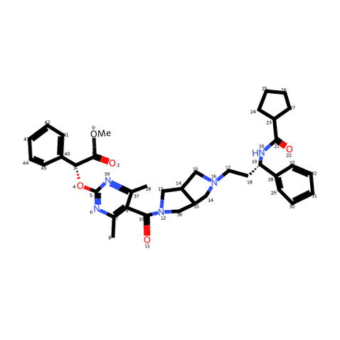 COC(=O)[C@H](Oc1nc(C)c(C(=O)N2CC3CN(CC[C@H](NC(=O)C4CCCC4)c4ccccc4)CC3C2)c(C)n1)c1ccccc1